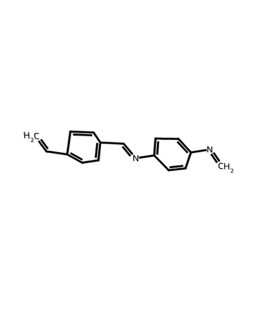 C=Cc1ccc(C=Nc2ccc(N=C)cc2)cc1